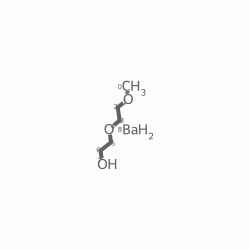 COCCOCCO.[BaH2]